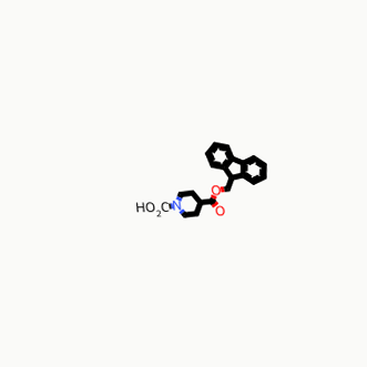 O=C(OCC1c2ccccc2-c2ccccc21)C1CCN(C(=O)O)CC1